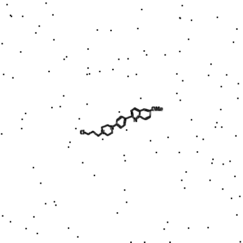 COc1ccc2nc(-c3ccc(N4CCN(CCCCl)CC4)cc3)ccc2c1